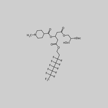 CCCCCCCCCCC(CCCCCCCC)COC(=O)CC(CC(=O)OCCC(F)(F)C(F)(F)C(F)(F)C(F)(F)C(F)(F)C(F)(F)F)OC(=O)C1CCN(C)CC1